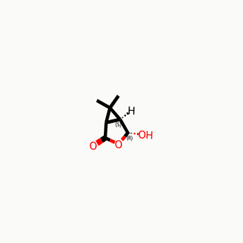 CC1(C)C2C(=O)O[C@@H](O)[C@@H]21